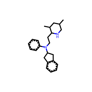 CC1CNC(CCN(c2ccccc2)C2Cc3ccccc3C2)C(C)C1